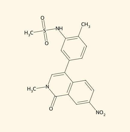 Cc1ccc(-c2cn(C)c(=O)c3cc([N+](=O)[O-])ccc23)cc1NS(C)(=O)=O